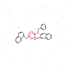 O=C(Cc1cccc2ccccc12)O[C@H](Cc1ccc2ccccc2c1)C(=O)OCc1ccccc1